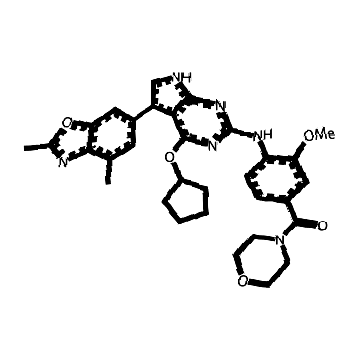 COc1cc(C(=O)N2CCOCC2)ccc1Nc1nc(OC2CCCC2)c2c(-c3cc(C)c4nc(C)oc4c3)c[nH]c2n1